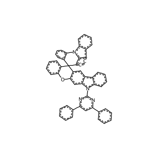 c1ccc(-c2cc(-c3ccccc3)nc(-n3c4ccccc4c4cc5c(cc43)Oc3ccccc3C53c4ccccc4-n4c5ccccc5c5cccc3c54)n2)cc1